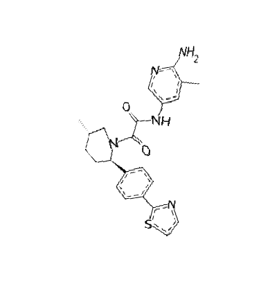 Cc1cc(NC(=O)C(=O)N2C[C@@H](C)CC[C@@H]2c2ccc(-c3nccs3)cc2)cnc1N